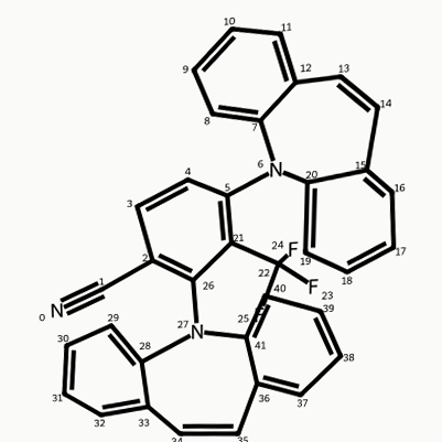 N#Cc1ccc(N2c3ccccc3C=Cc3ccccc32)c(C(F)(F)F)c1N1c2ccccc2C=Cc2ccccc21